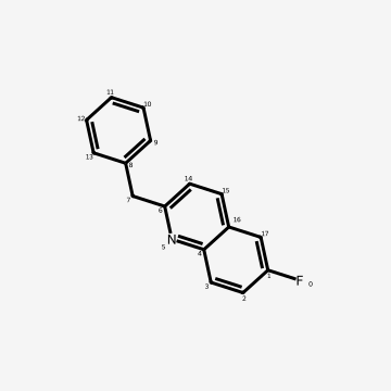 Fc1ccc2nc(Cc3ccccc3)ccc2c1